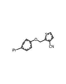 CC(C)c1ccc(OCc2sccc2C#N)cc1